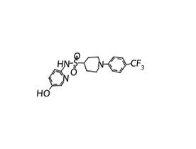 O=S(=O)(Nc1ccc(O)cn1)C1CCN(c2ccc(C(F)(F)F)cc2)CC1